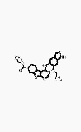 CCOC(=O)[C@@H]1CCc2c(sc3ncnc(Nc4cc5cn[nH]c5cc4OCC)c23)C1